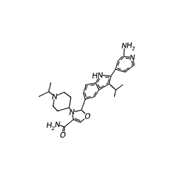 CC(C)c1c(-c2ccnc(N)c2)[nH]c2ccc(C3OC=C(C(N)=O)N3C3CCN(C(C)C)CC3)cc12